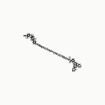 C[C@@H]1COCCN1c1nc(N2CCOC[C@H]2C)c2ccc(-c3cccc(C(=O)NCCOCCOCCOCCOCCOCCOCCOCCOCCOCCOCCOc4ccc(C(=O)NC5C(C)(C)C(Oc6ccc(C#N)c(Cl)c6)C5(C)C)cc4)c3)nc2n1